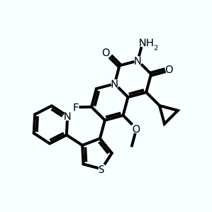 COc1c(-c2cscc2-c2ccccn2)c(F)cn2c(=O)n(N)c(=O)c(C3CC3)c12